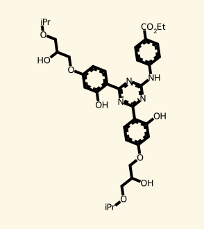 CCOC(=O)c1ccc(Nc2nc(-c3ccc(OCC(O)COC(C)C)cc3O)nc(-c3ccc(OCC(O)COC(C)C)cc3O)n2)cc1